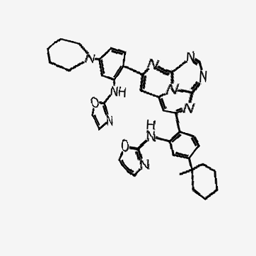 CC1(c2ccc(C3=NC4=NC=NC5=NC(c6ccc(N7CCCCC7)cc6Nc6ncco6)=CC(=C3)N45)c(Nc3ncco3)c2)CCCCC1